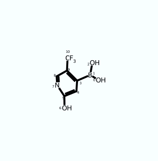 OB(O)c1cc(O)ncc1C(F)(F)F